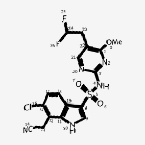 COc1nc(NS(=O)(=O)c2c[nH]c3c(CC#N)c(Cl)ccc23)ncc1CC(F)F